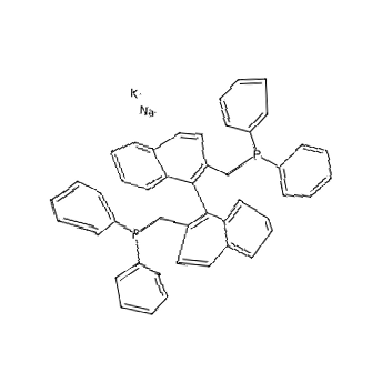 [K].[Na].c1ccc(P(Cc2ccc3ccccc3c2-c2c(CP(c3ccccc3)c3ccccc3)ccc3ccccc23)c2ccccc2)cc1